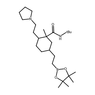 CC(C)(C)NC(=O)C1(C)CC(CCB2OC(C)(C)C(C)(C)O2)CCC1CCN1CCCC1